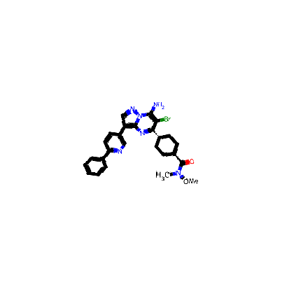 CON(C)C(=O)[C@H]1CC[C@H](c2nc3c(-c4ccc(-c5ccccc5)nc4)cnn3c(N)c2Br)CC1